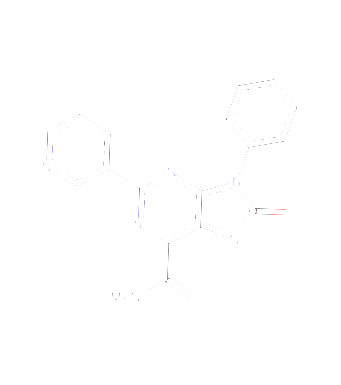 CNC(=O)c1nc(-c2cccnc2)nc2c1[nH]c(=O)n2-c1ccccc1